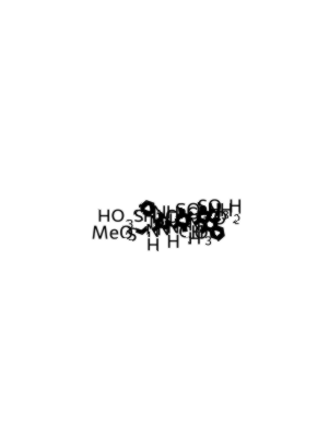 COSCCCNc1nc(Nc2cccc(S(=O)(=O)O)c2)nc(Nc2c(C)c(Nc3cc(S(=O)(=O)O)c(N)c4c3C(=O)c3ccccc3C4=O)c(C)c(S(=O)(=O)O)c2C)n1